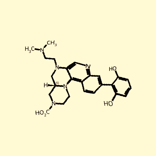 CN(C)CCN1C[C@H]2CN(C(=O)O)CCN2c2c1cnc1cc(-c3c(O)cccc3O)ccc21